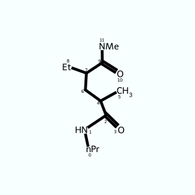 CCCNC(=O)C(C)CC(CC)C(=O)NC